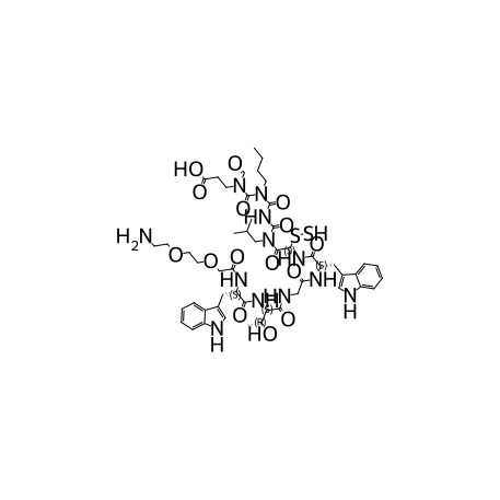 CCCCN(C(=O)NC(=O)N(CC(C)C)C(=O)[C@@H](NC(=O)[C@H](Cc1c[nH]c2ccccc12)NC(=O)CNC(=O)[C@@H](NC(=O)[C@H](Cc1c[nH]c2ccccc12)NC(=O)COCCOCCN)[C@@H](C)O)SS)C(=O)N(C=O)CCC(=O)O